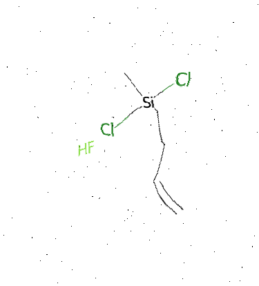 C=CC[Si](C)(Cl)Cl.F